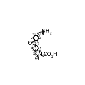 NN=Cc1ccc(C(=O)N2CCC3(CC2)CN(CC(=O)O)C(=O)O3)cc1